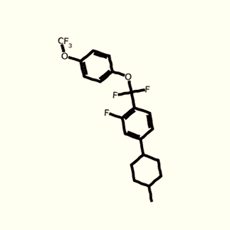 CC1CCC(c2ccc(C(F)(F)Oc3ccc(OC(F)(F)F)cc3)c(F)c2)CC1